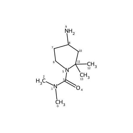 CN(C)C(=O)N1CCC(N)CC1(C)C